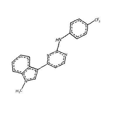 Cn1cc(-c2ccnc(Nc3ccc(C(F)(F)F)cc3)n2)c2ccccc21